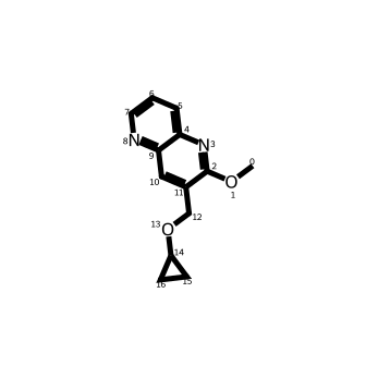 COc1nc2cccnc2cc1COC1CC1